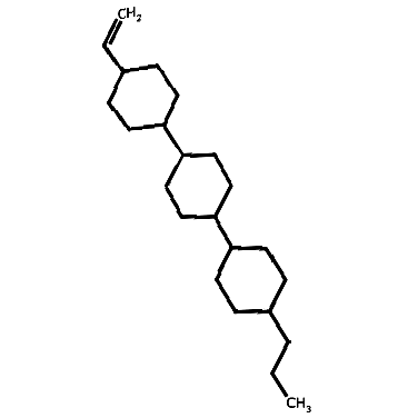 C=CC1CCC(C2CCC(C3CCC(CCC)CC3)CC2)CC1